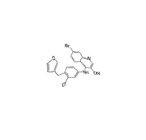 N#Cc1cnc2cc(Br)ccc2c1Nc1ccc(Cc2ccoc2)c(Cl)c1